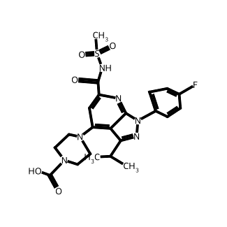 CC(C)c1nn(-c2ccc(F)cc2)c2nc(C(=O)NS(C)(=O)=O)cc(N3CCN(C(=O)O)CC3)c12